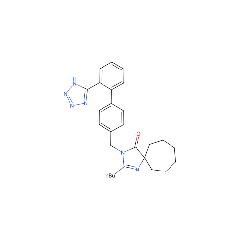 CCCCC1=NC2(CCCCCC2)C(=O)N1Cc1ccc(-c2ccccc2-c2nnn[nH]2)cc1